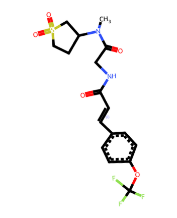 CN(C(=O)CNC(=O)/C=C/c1ccc(OC(F)(F)F)cc1)C1CCS(=O)(=O)C1